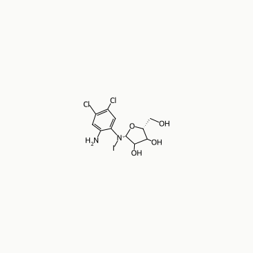 Nc1cc(Cl)c(Cl)cc1N(I)[C@@H]1O[C@H](CO)C(O)C1O